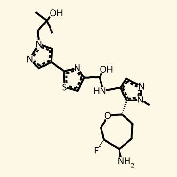 Cn1ncc(NC(O)c2csc(-c3cnn(CC(C)(C)O)c3)n2)c1[C@@H]1CC[C@@H](N)[C@H](F)CO1